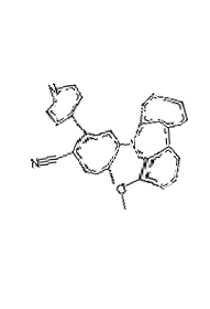 COc1cccc2c3ccccc3n(-c3cc(-c4ccncc4)c(C#N)cc3C)c12